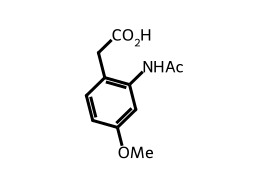 COc1ccc(CC(=O)O)c(NC(C)=O)c1